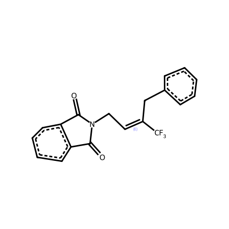 O=C1c2ccccc2C(=O)N1C/C=C(\Cc1ccccc1)C(F)(F)F